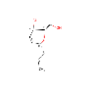 C=CC[C@@H]1C=C[C@H](O)[C@@H](CO)O1